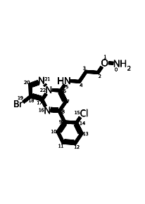 NOCCCNc1cc(-c2ccccc2Cl)nc2c(Br)cnn12